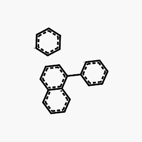 [c]1ccccc1.[c]1ccccc1-c1cccc2ccccc12